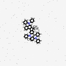 Cc1ccccc1N1c2cc3c(cc2B2c4ccccc4N(c4ccccc4)c4cccc1c42)C(C)(C)c1cc(N(c2ccccc2)c2ccccc2)c2ccccc2c1-3